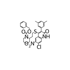 Cc1cc(C)cc(-c2c(SCCC3CCCCN3C(=O)OCc3ccccc3)c3cc([N+](=O)[O-])c(Cl)cc3[nH]c2=O)c1